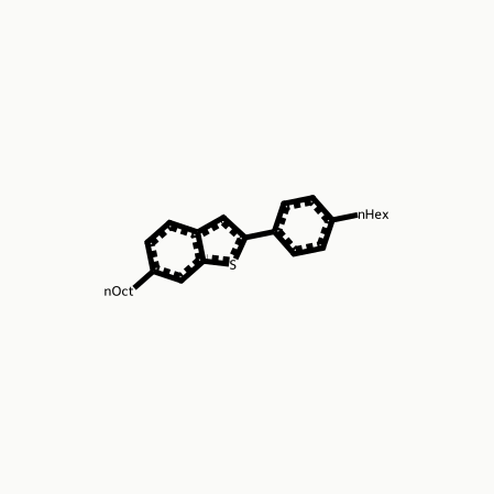 CCCCCCCCc1ccc2cc(-c3ccc(CCCCCC)cc3)sc2c1